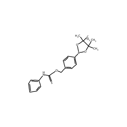 CC1(C)OB(c2ccc(COC(=S)Nc3ccccc3)cc2)OC1(C)C